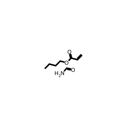 C=CC(=O)OCCCC.NC=O